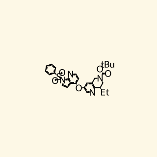 CCC1CN(C(=O)OC(C)(C)C)Cc2cc(Oc3ccnc4c3ccn4S(=O)(=O)c3ccccc3)cnc21